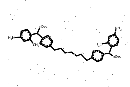 CCCCCCCCCCC(c1ccc(CCCCCCCc2ccc(C(CCCCCCCCCC)c3ccc(N)cc3C)cc2)cc1)c1ccc(N)cc1C